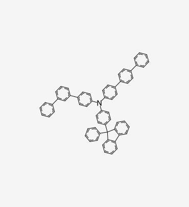 c1ccc(-c2ccc(-c3ccc(N(c4ccc(-c5cccc(-c6ccccc6)c5)cc4)c4ccc(C5(c6ccccc6)c6ccccc6-c6ccccc65)cc4)cc3)cc2)cc1